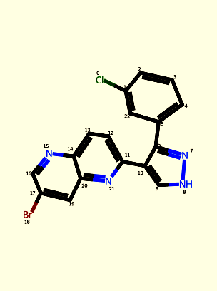 Clc1cccc(-c2n[nH]cc2-c2ccc3ncc(Br)cc3n2)c1